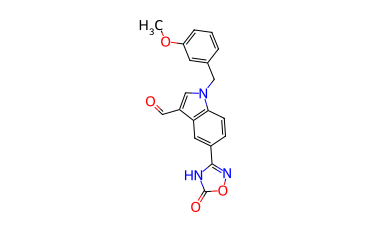 COc1cccc(Cn2cc(C=O)c3cc(-c4noc(=O)[nH]4)ccc32)c1